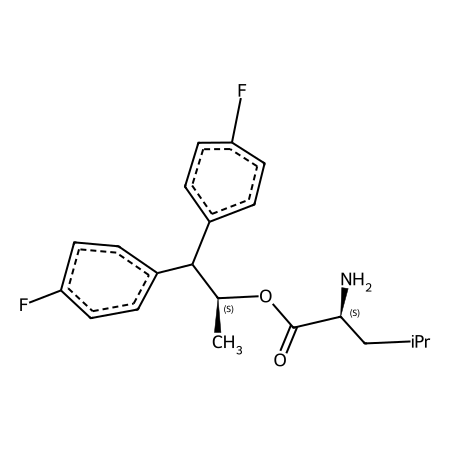 CC(C)C[C@H](N)C(=O)O[C@@H](C)C(c1ccc(F)cc1)c1ccc(F)cc1